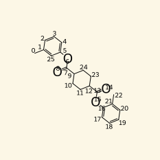 Cc1cccc(OC(=O)C2CCC(C(=O)Oc3ccccc3C)CC2)c1